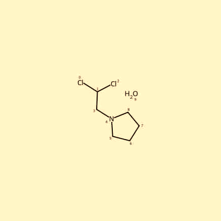 ClC(Cl)CN1CCCC1.O